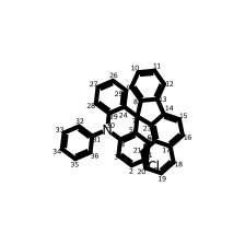 Clc1ccc2c(c1)C1(c3ccccc3-c3ccc4ccccc4c31)c1ccccc1N2c1ccccc1